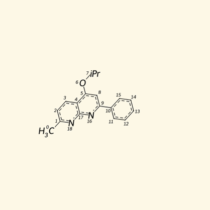 Cc1ccc2c(OC(C)C)cc(-c3ccccc3)nc2n1